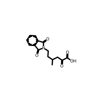 CC(CCN1C(=O)c2ccccc2C1=O)CC(=O)C(=O)O